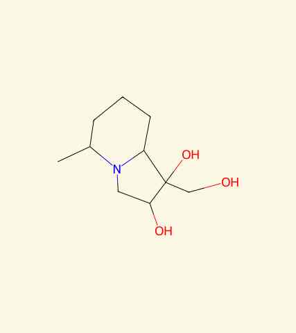 CC1CCCC2N1CC(O)C2(O)CO